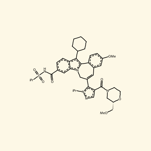 COC[C@@H]1CN(C(=O)c2cnn(C(C)C)c2C2=Cc3cc(OC)ccc3-c3c(C4CCCCC4)c4ccc(C(=O)NS(=O)(=O)C(C)C)cc4n3C2)CCO1